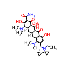 CCN(Cc1cc(O)c2c(c1N(C)C)C[C@H]1C[C@H]3[C@H](N(C)C)C(O)=C(C(N)=O)C(=O)[C@@]3(O)C(O)=C1C2=O)C1(C2CC2)CC1